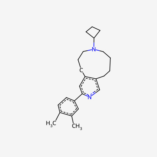 Cc1ccc(-c2cc3c(cn2)CCCCN(C2CCC2)CCC3)cc1C